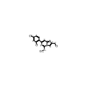 CCSc1nc(-c2ccc(Cl)cc2Cl)cc2nc(CCl)cn12